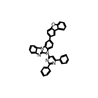 c1ccc(-c2cc(-n3c4ccc(-c5ccc6oc7ccccc7c6c5)cc4n4c5ccccc5nc34)nc(-c3ccccc3)n2)cc1